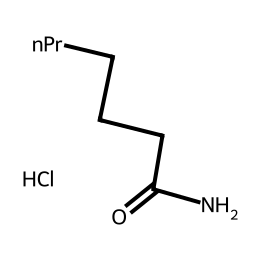 CCCCCCC(N)=O.Cl